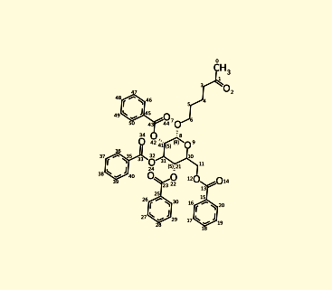 CC(=O)CCCCO[C@@H]1OC(COC(=O)c2ccccc2)[C@H](OC(=O)c2ccccc2)C(OC(=O)c2ccccc2)[C@@H]1OC(=O)c1ccccc1